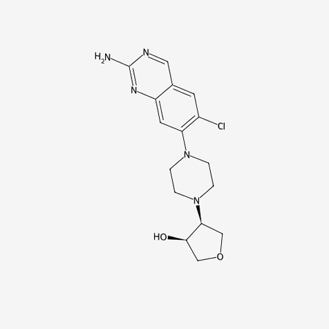 Nc1ncc2cc(Cl)c(N3CCN([C@H]4COC[C@H]4O)CC3)cc2n1